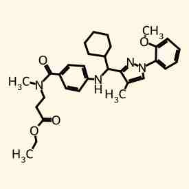 CCOC(=O)CCN(C)C(=O)c1ccc(NC(c2nn(-c3ccccc3OC)cc2C)C2CCCCC2)cc1